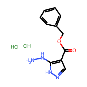 Cl.Cl.NNc1[nH]ncc1C(=O)OCc1ccccc1